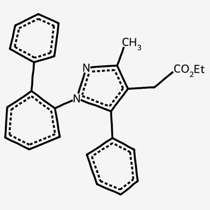 CCOC(=O)Cc1c(C)nn(-c2ccccc2-c2ccccc2)c1-c1ccccc1